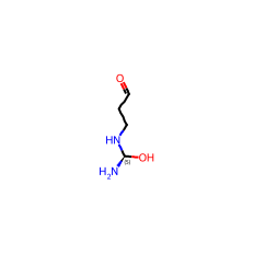 N[C@H](O)NCCC=O